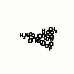 CC(=O)OC(C(=O)Nc1ccc2c(C(=O)c3ccccc3C(N)=O)noc2c1)c1cccn(-c2ccc(F)c(OC3CCOCC3)c2)c1=O